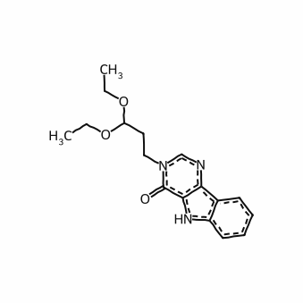 CCOC(CCn1cnc2c([nH]c3ccccc32)c1=O)OCC